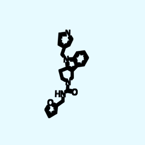 O=C(NCc1ccco1)N1CCc2c(c3ccccc3n2Cc2ccncc2)C1